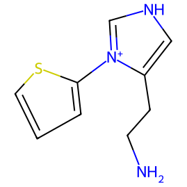 NCCc1c[nH]c[n+]1-c1cccs1